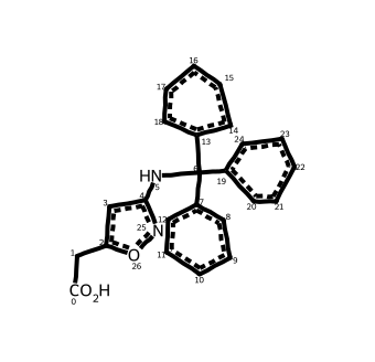 O=C(O)Cc1cc(NC(c2ccccc2)(c2ccccc2)c2ccccc2)no1